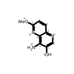 COc1ccc2ncc(O)c(N)c2n1